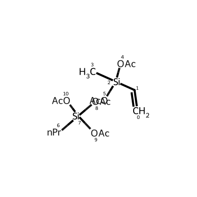 C=C[Si](C)(OC(C)=O)OC(C)=O.CCC[Si](OC(C)=O)(OC(C)=O)OC(C)=O